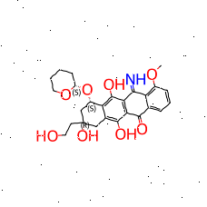 COc1cccc2c1C(=N)c1c(O)c3c(c(O)c1C2=O)C[C@@](O)(CCO)C[C@@H]3O[C@H]1CCCCO1